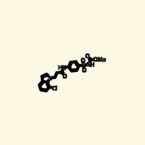 COC(=O)NS(=O)(=O)c1ccc(NC(=O)CCn2ccc3cccc(Cl)c32)cc1